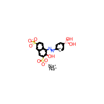 O=S(=O)([O-])c1ccc2c(N=Nc3ccc(B(O)O)cc3)c(O)c(S(=O)(=O)[O-])cc2c1.[Na+].[Na+]